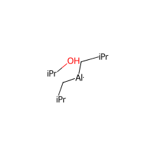 CC(C)O.CC(C)[CH2][Al][CH2]C(C)C